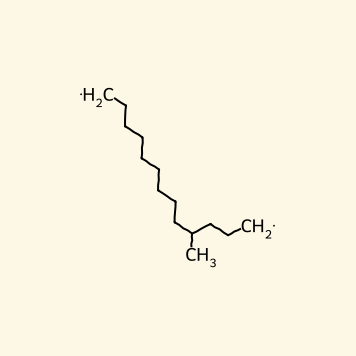 [CH2]CCCCCCCCC(C)CC[CH2]